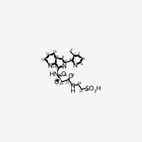 Cc1cccnc1-c1cc2cccnc2c(NS(=O)(=O)CC(=O)NCCS(=O)(=O)O)n1